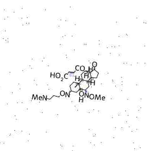 CNCCCON=C1CC[C@]2(C)[C@H]3CC[C@]4(C)C(=O)CC[C@H]4[C@@H]3C/C(=N\OC)[C@@]2(O)C1.O=C(O)/C=C/C(=O)O